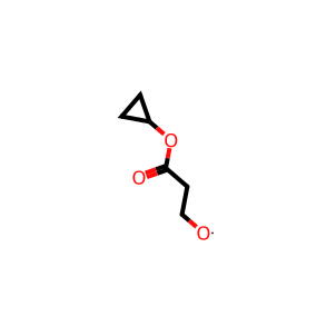 [O]CCC(=O)OC1CC1